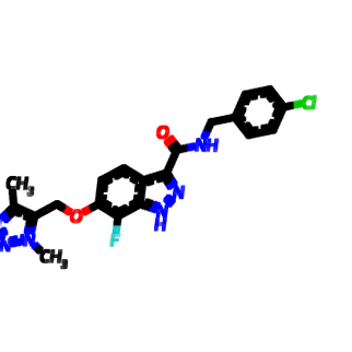 Cc1nnn(C)c1COc1ccc2c(C(=O)NCc3ccc(Cl)cc3)n[nH]c2c1F